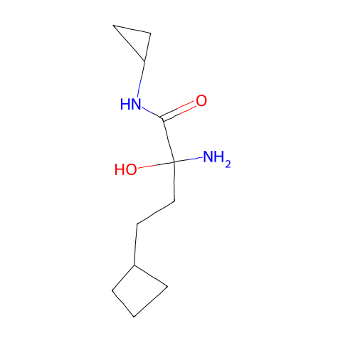 NC(O)(CCC1CCC1)C(=O)NC1CC1